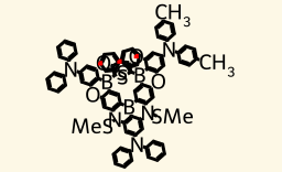 CSN1c2cc3c(cc2B2c4cc5c(cc4N(SC)c4cc(N(c6ccccc6)c6ccccc6)cc1c42)Oc1cc(N(c2ccc(C)cc2)c2ccc(C)cc2)cc2c1B5c1sc4ccccc4c1O2)B1c2sc4ccccc4c2Oc2cc(N(c4ccccc4)c4ccccc4)cc(c21)O3